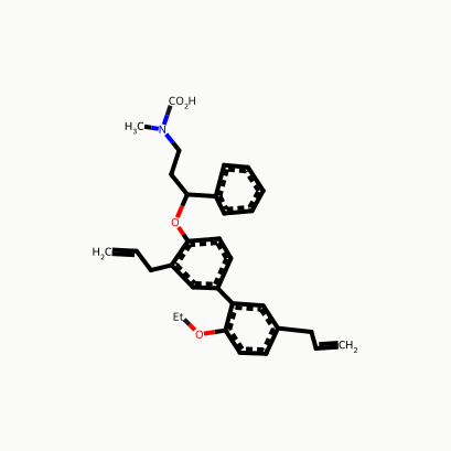 C=CCc1ccc(OCC)c(-c2ccc(OC(CCN(C)C(=O)O)c3ccccc3)c(CC=C)c2)c1